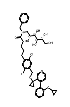 O=C(CCCCc1cc(Cl)c(COC2(c3cnccc3-c3ccccc3OC3CC3)CC2)cc1Cl)N(Cc1ccccc1)C[C@@H](O)[C@H](O)[C@H](O)[C@H](O)CO